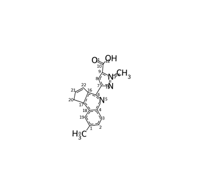 Cc1ccc2nc(-c3cc(C(=O)O)n(C)n3)c3c(c2c1)CC=C3